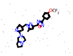 Cc1cc(-c2nc(-c3ccc(OC(F)(F)F)cc3)no2)nn1Cc1ccnc(N2CCN3CCCC3C2)c1